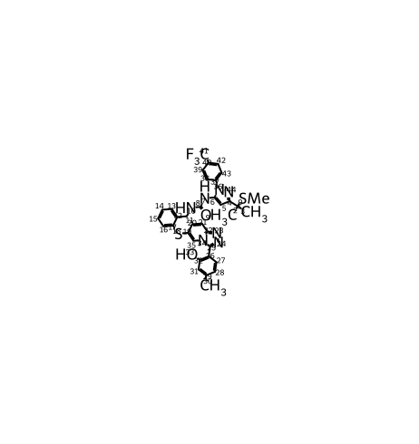 CSC(C)(C)c1cc(NC(=O)NCc2ccccc2Sc2ccc3nnc(-c4ccc(C)cc4O)n3c2)n(-c2ccc(C(F)(F)F)cc2)n1